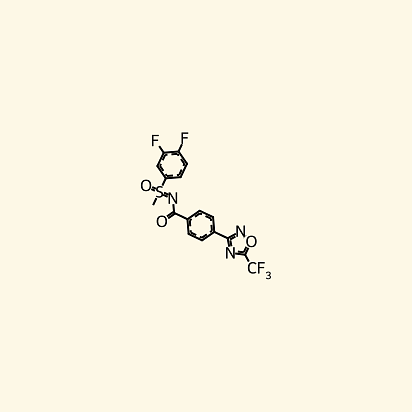 CS(=O)(=NC(=O)c1ccc(-c2noc(C(F)(F)F)n2)cc1)c1ccc(F)c(F)c1